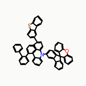 c1ccc(-c2ccccc2-c2ccccc2-c2ccccc2N(c2ccc(-c3ccc4sc5ccccc5c4c3)cc2)c2ccc3c(c2)-c2ccccc2C32c3ccccc3Oc3ccccc32)cc1